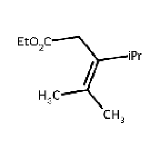 CCOC(=O)CC(=C(C)C)C(C)C